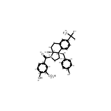 CC(F)(c1ccc2c(c1)CC[C@H]1N(C(=O)c3ccc(O)c(C(=O)O)c3)CC[C@@]21Cc1ccc(F)cc1)C(F)(F)F